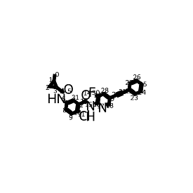 CC1CC1C(=O)Nc1ccc(Cl)c(C(=O)Nc2ncc(C#Cc3ccccc3)cc2F)c1